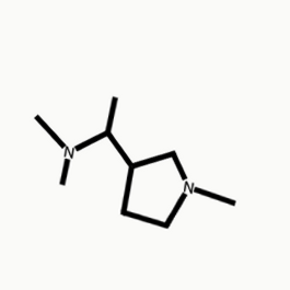 CC(C1CCN(C)C1)N(C)C